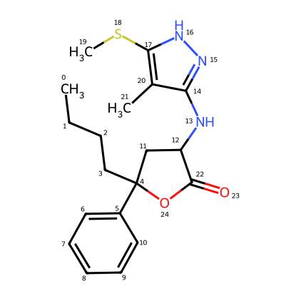 CCCCC1(c2ccccc2)CC(Nc2n[nH]c(SC)c2C)C(=O)O1